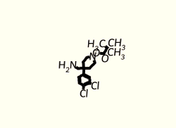 CC(C)(C)C(=O)ON1CCC(CN)(c2ccc(Cl)c(Cl)c2)CC1